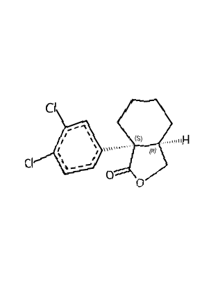 O=C1OC[C@@H]2CCCC[C@]12c1ccc(Cl)c(Cl)c1